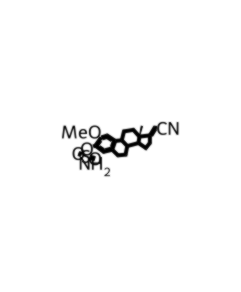 COc1cc2c(cc1OS(N)(=O)=O)CCC1C2CC[C@]2(C)/C(=C/C#N)CCC12